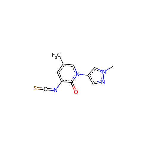 Cn1cc(-n2cc(C(F)(F)F)cc(N=C=S)c2=O)cn1